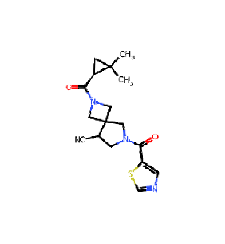 CC1(C)C[C@@H]1C(=O)N1CC2(CN(C(=O)c3cncs3)CC2C#N)C1